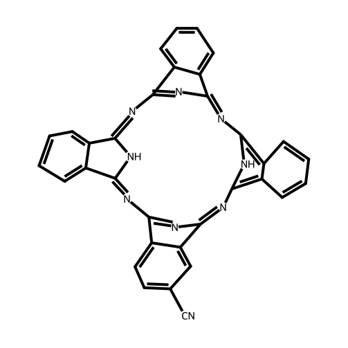 N#Cc1ccc2c(c1)-c1nc-2nc2[nH]c(nc3nc(nc4[nH]c(n1)c1ccccc41)-c1ccccc1-3)c1ccccc21